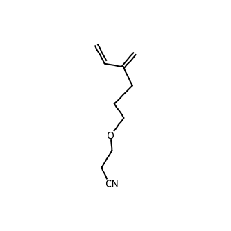 C=CC(=C)CCCOCCC#N